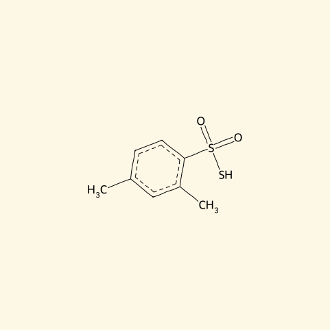 Cc1ccc(S(=O)(=O)S)c(C)c1